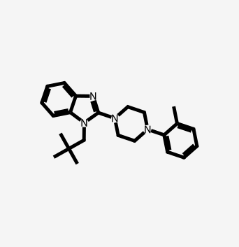 Cc1ccccc1N1CCN(c2nc3ccccc3n2CC(C)(C)C)CC1